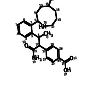 CC(c1ccccc1C1CCC(Cl)CCCN1)C(C(N)=O)c1ccc(C(=O)O)cc1